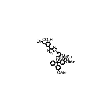 CCC(Cc1cccc(-c2ncnc3c2ncn3[C@H]2C[C@H](O[Si](C)(C)C(C)(C)C)[C@@H](COC(c3ccccc3)(c3ccc(OC)cc3)c3ccc(OC)cc3)O2)c1)C(=O)O